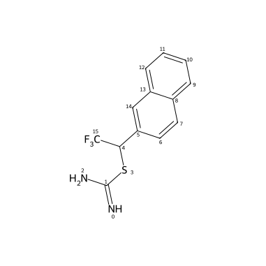 N=C(N)SC(c1ccc2ccccc2c1)C(F)(F)F